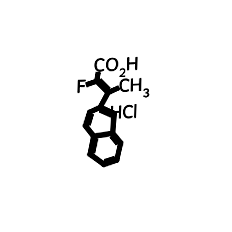 CC(=C(F)C(=O)O)c1ccc2ccccc2c1.Cl